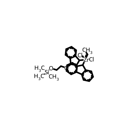 C[CH]=[Zr]([Cl])([Cl])([CH]1C=C(OCCO[Si](C)(C)C)c2ccccc21)[CH]1c2ccccc2-c2ccccc21